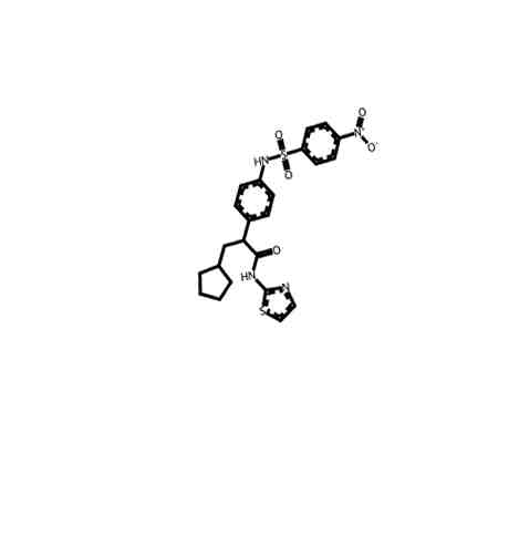 O=C(Nc1nccs1)C(CC1CCCC1)c1ccc(NS(=O)(=O)c2ccc([N+](=O)[O-])cc2)cc1